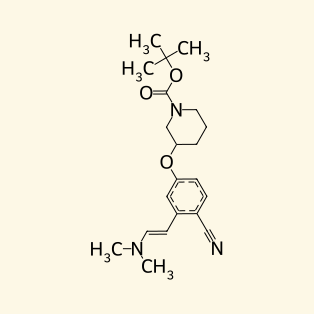 CN(C)C=Cc1cc(OC2CCCN(C(=O)OC(C)(C)C)C2)ccc1C#N